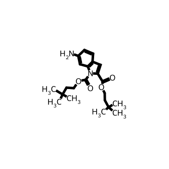 CC(C)(C)CCOC(=O)c1cc2ccc(N)cc2n1C(=O)OCCC(C)(C)C